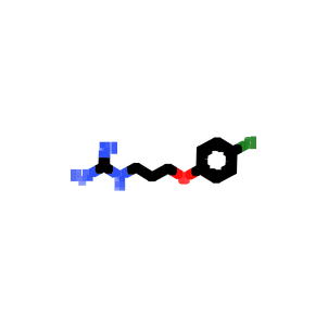 N=C(N)NCCCOc1ccc(Cl)cc1